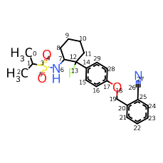 CC(C)S(=O)(=O)NC1CCCCC1(F)c1ccc(OCc2ccccc2C#N)cc1